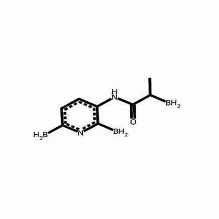 Bc1ccc(NC(=O)C(B)C)c(B)n1